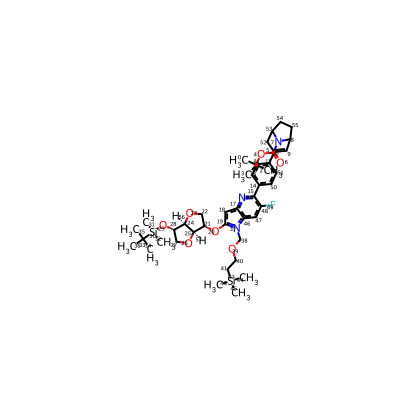 CC(C)(C)OC(=O)N1C2C=C(c3ccc(-c4nc5cc(O[C@@H]6CO[C@H]7[C@@H]6OC[C@H]7O[Si](C)(C)C(C)(C)C)n(COCC[Si](C)(C)C)c5cc4F)cc3)CC1CC2